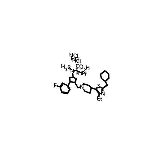 CCc1nc(CC2CCCCC2)sc1C1CCN(CC2CC(N(C)[C@@H](C(=O)O)C(C)C)CC2c2cccc(F)c2)CC1.Cl.Cl.Cl